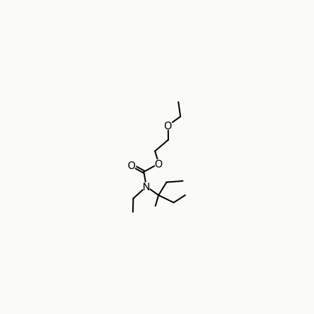 CCOCCOC(=O)N(CC)C(C)(CC)CC